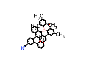 Cc1cc(C)c(B(c2c(C)cc(C)cc2C)c2c3ccccc3c(-c3ccc(C#N)cc3-c3ccccc3)c3ccccc23)c(C)c1